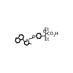 CCOC(C(=O)O)C(CC)c1ccc(OCCn2c(C)ccc2-c2cccc3ccccc23)cc1